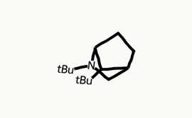 CC(C)(C)C1C2CCC1N(C(C)(C)C)C2